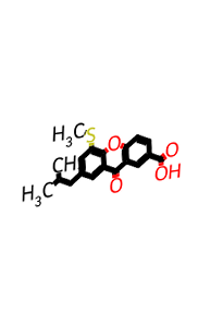 CSc1cc(CC(C)C)cc2c(=O)c3cc(C(=O)O)ccc3oc12